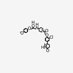 COc1ccc(OC[C@@H](O)CNC2CCN(C(=O)COc3ccc(C4=NNC(=O)CC4)cc3Cl)CC2)cc1